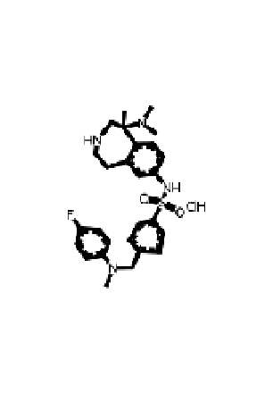 CN(Cc1ccc(S(=O)(=O)Nc2ccc3c(c2)CCNCC3(C)N(C)C)cc1)c1ccc(F)cc1.Cl